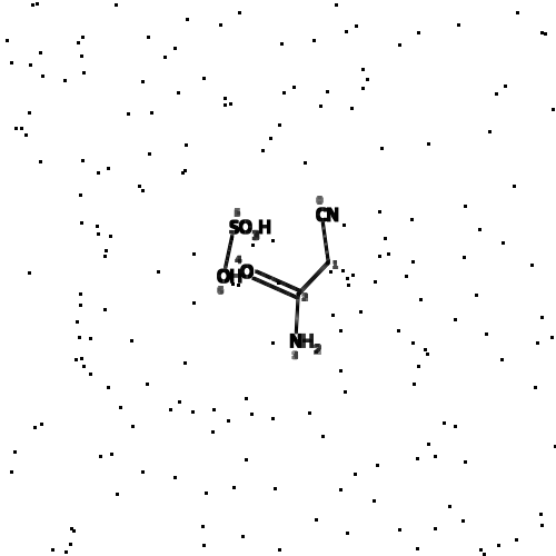 N#CCC(N)=O.O=S(=O)(O)O